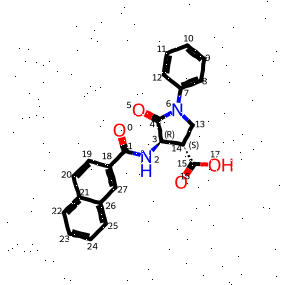 O=C(N[C@H]1C(=O)N(c2ccccc2)C[C@@H]1C(=O)O)c1ccc2ccccc2c1